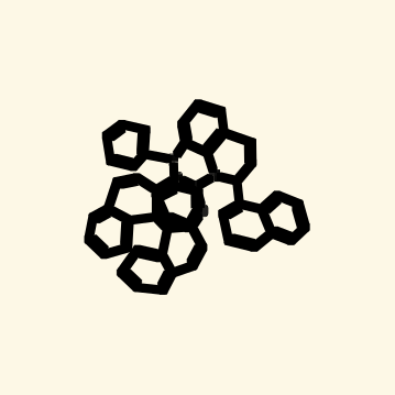 C1=CC(c2cccc3ccccc23)N(p2oc3ccc4ccccc4c3c3c(ccc4ccccc43)o2)c2c1cccc2P(c1ccccc1)c1ccccc1